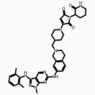 Cc1cccc(C)c1Nc1nn(C)c2nc(Nc3ccc4c(c3)CN(CC3CCN(C5=CC(=O)N(C6CCCNC6=O)C5=O)CC3)CC4)ncc12